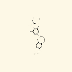 Cc1cc(N2CCCc3cc(OC(C)C)c(F)cc3C2)cc(C)c1NC(=O)CC(C)(C)C